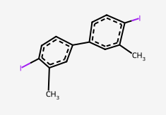 Cc1cc(-c2ccc(I)c(C)c2)ccc1I